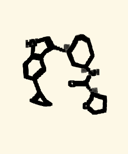 O=C(N[C@H]1CCC[C@@H](c2c[nH]c3ccc(C4CC4)cc23)C1)[C@@H]1CCCO1